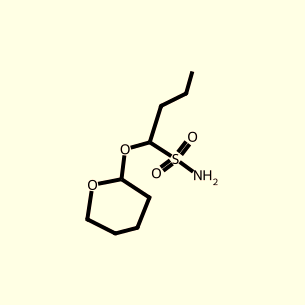 CCCC(OC1CCCCO1)S(N)(=O)=O